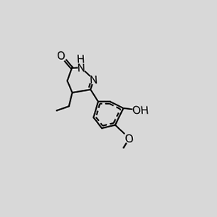 CCC1CC(=O)NN=C1c1ccc(OC)c(O)c1